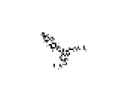 CCCCCC(=O)OC(COc1ccc(CC2SC(=O)CC2=O)cc1)c1ccc(OC)cc1